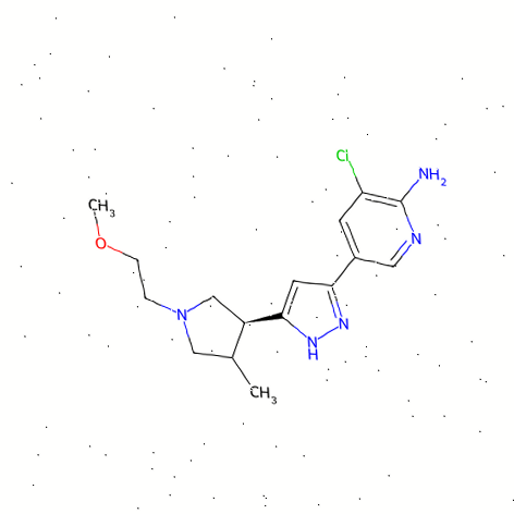 COCCN1CC(C)[C@H](c2cc(-c3cnc(N)c(Cl)c3)n[nH]2)C1